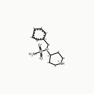 NS(=O)(=O)N(Cc1ccccc1)C1CCNCC1